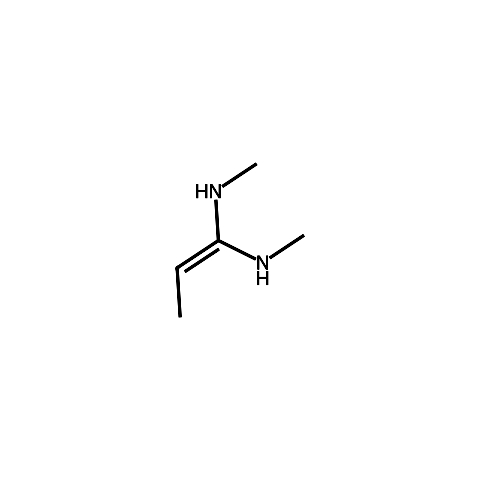 CC=C(NC)NC